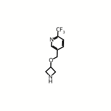 FC(F)(F)c1ccc(COC2CNC2)cn1